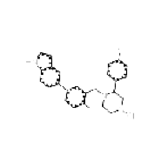 CN1CCN(Cc2cc(-c3ccc4[nH]ccc4c3)ccc2F)C(c2ccc(C(F)(F)F)cc2)C1